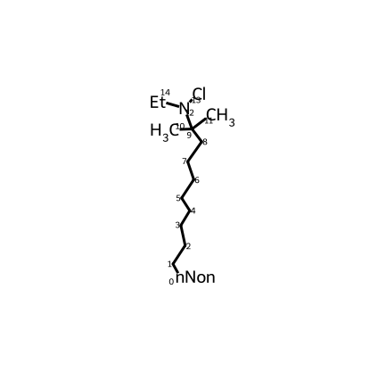 CCCCCCCCCCCCCCCCCC(C)(C)N(Cl)CC